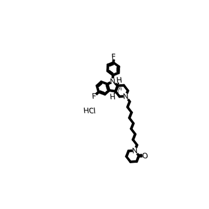 Cl.O=C1CCCCN1CCCCCCCCCN1CC[C@@H]2[C@@H](C1)c1cc(F)ccc1N2c1ccc(F)cc1